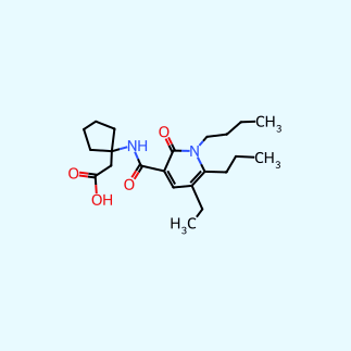 CCCCn1c(CCC)c(CC)cc(C(=O)NC2(CC(=O)O)CCCC2)c1=O